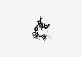 C[C@H](NC(=O)c1cc(C#N)cnc1NCc1ccc(-c2cnc(N)c(C(=O)NCCCS(C)(=O)=O)n2)cc1)c1ccc(F)cc1